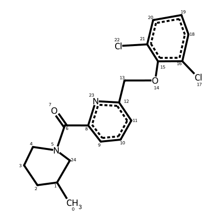 CC1CCCN(C(=O)c2cccc(COc3c(Cl)cccc3Cl)n2)C1